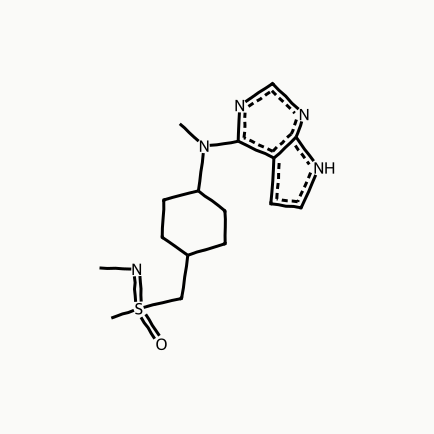 CN=S(C)(=O)CC1CCC(N(C)c2ncnc3[nH]ccc23)CC1